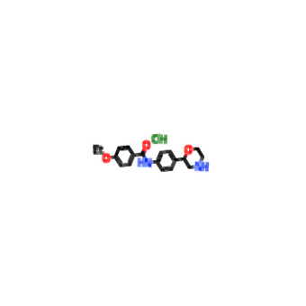 CCOc1ccc(C(=O)Nc2ccc(C3CNCCO3)cc2)cc1.Cl